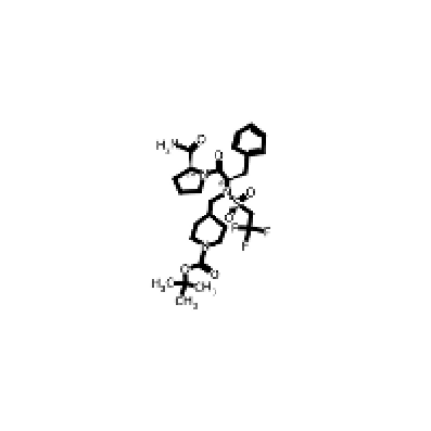 CC(C)(C)OC(=O)N1CCC(CN([C@H](Cc2ccccc2)C(=O)N2CCC[C@H]2C(N)=O)S(=O)(=O)CC(F)(F)F)CC1